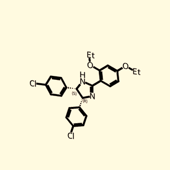 CCOc1ccc(C2=N[C@H](c3ccc(Cl)cc3)[C@H](c3ccc(Cl)cc3)N2)c(OCC)c1